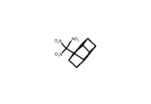 O=[N+]([O-])C([N+](=O)[O-])([N+](=O)[O-])C12C3C4C5C3C1C5C42